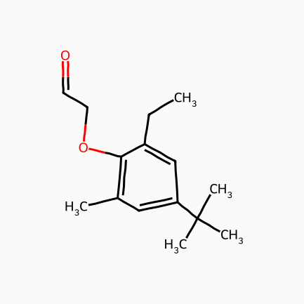 CCc1cc(C(C)(C)C)cc(C)c1OCC=O